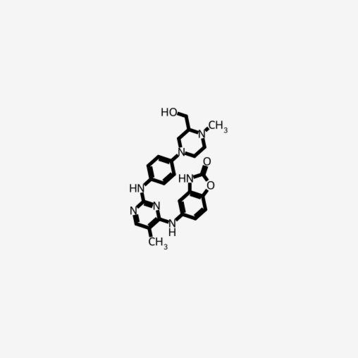 Cc1cnc(Nc2ccc(N3CCN(C)C(CO)C3)cc2)nc1Nc1ccc2oc(=O)[nH]c2c1